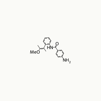 CO/C(C)=C(\C)c1ccccc1NC(=O)c1ccc(N)cc1